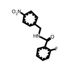 O=C(NCc1ccc([N+](=O)[O-])cc1)c1ccccc1F